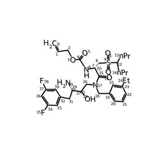 C=CCOC(=O)N[C@H](CS(=O)(=O)C(CCC)CCC)C(=O)N(Cc1cccc(CC)c1)C[C@@H](O)[C@@H](N)Cc1cc(F)cc(F)c1